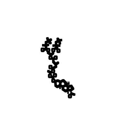 CC(=O)[C@H]1CCC2[C@@H]3CCC4C[C@@H](OC(=O)OC(C)OC(=O)CC(C)CC(=O)OC(COC(=O)C(C)(C)CC(C)(C)C)COC(=O)C(C)(C)CC(C)(C)C)CC[C@]4(C)C3CC[C@@]21C